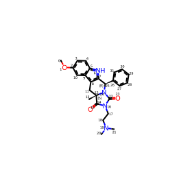 COc1ccc2[nH]c3c(c2c1)C[C@@]1(C)C(=O)N(CCN(C)C)C(=O)N1[C@@H]3c1ccccc1